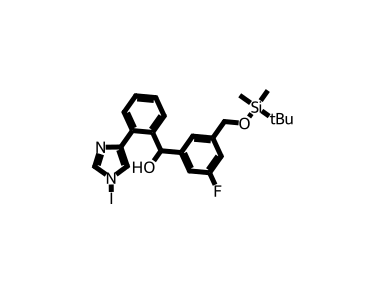 CC(C)(C)[Si](C)(C)OCc1cc(F)cc(C(O)c2ccccc2-c2cn(I)cn2)c1